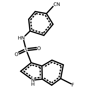 N#Cc1ccc(NS(=O)(=O)c2c[nH]c3cc(F)ccc23)cc1